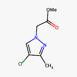 COC(=O)Cn1cc(Cl)c(C)n1